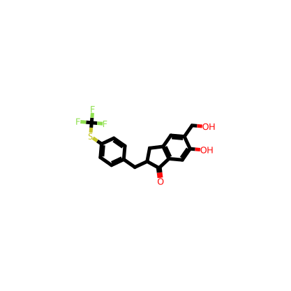 O=C1c2cc(O)c(CO)cc2CC1Cc1ccc(SC(F)(F)F)cc1